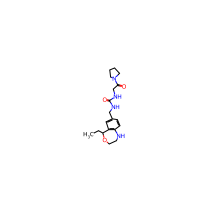 CCC1OCCNc2ccc(CNC(=O)NCC(=O)N3CCCC3)cc21